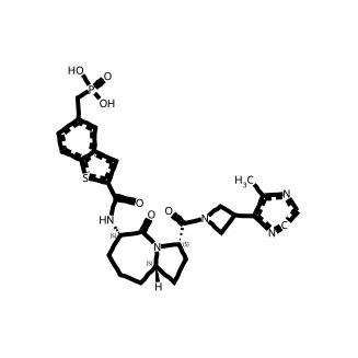 Cc1nccnc1C1CN(C(=O)[C@@H]2CC[C@@H]3CCC[C@H](NC(=O)c4cc5cc(CP(=O)(O)O)ccc5s4)C(=O)N32)C1